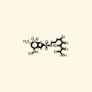 CCN[C@H]1C[C@H](C)S(=O)(=O)c2sc(S(=O)(=O)NCCCC(CC)C(CC)C(CC)C(CC)C(CC)C(C)CC)cc21